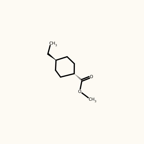 CC[C@H]1CC[C@H](C(=O)OC)CC1